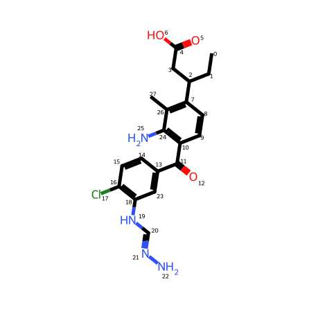 CCC(CC(=O)O)c1ccc(C(=O)c2ccc(Cl)c(NC=NN)c2)c(N)c1C